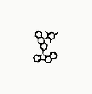 Cc1cc(C)c(B2c3ccccc3Sc3cc(-n4c5ccccc5c5ccc6ccccc6c54)ccc32)c(C)c1